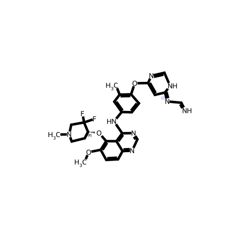 COc1ccc2ncnc(Nc3ccc(Oc4c/c(=N/C=N)[nH]cn4)c(C)c3)c2c1O[C@@H]1CCN(C)CC1(F)F